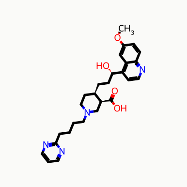 COc1ccc2nccc([C@@H](O)CC[C@@H]3CCN(CCCCc4ncccn4)C[C@@H]3C(=O)O)c2c1